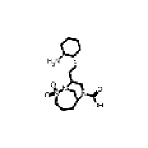 N[C@H]1CCCC[C@@H]1CCC1CN(C(=O)O)C2CCCS(=O)(=O)N1C2